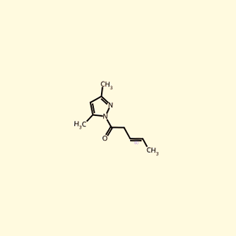 C/C=C/CC(=O)n1nc(C)cc1C